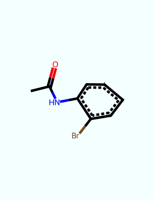 CC(=O)Nc1c[c]ccc1Br